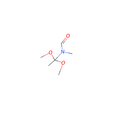 COC(C)(OC)N(C)C=O